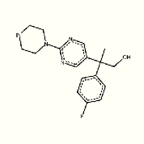 CC(CO)(c1ccc(F)cc1)c1cnc(N2CCNCC2)nc1